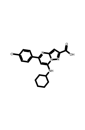 O=C(O)c1cc2nc(-c3ccc(Cl)cc3)cc(NC3CCCCC3)n2n1